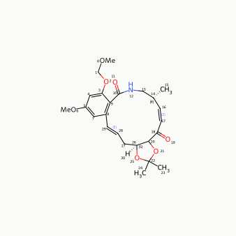 COCOc1cc(OC)cc2c1C(=O)NC[C@H](C)/C=C\C(=O)C1OC(C)(C)O[C@H]1C/C=C/2